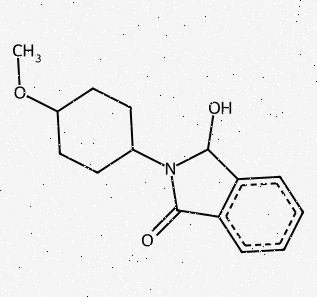 COC1CCC(N2C(=O)c3ccccc3C2O)CC1